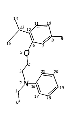 CCN(CCOc1cc(C)ccc1C(C)C)c1ccccc1